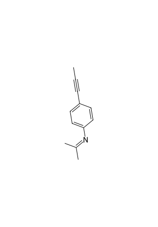 CC#Cc1ccc(N=C(C)C)cc1